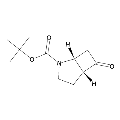 CC(C)(C)OC(=O)N1CC[C@H]2C(=O)C[C@H]21